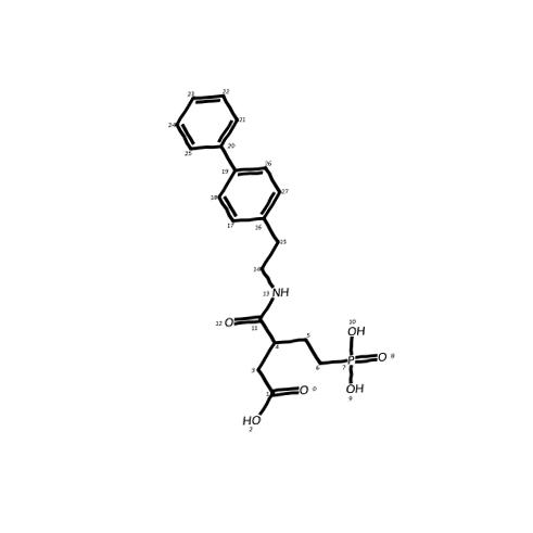 O=C(O)CC(CCP(=O)(O)O)C(=O)NCCc1ccc(-c2ccccc2)cc1